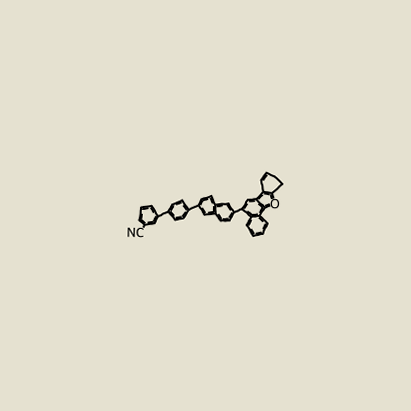 N#Cc1cccc(-c2ccc(-c3ccc4cc(-c5cc6c7c(oc6c6ccccc56)CCC=C7)ccc4c3)cc2)c1